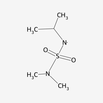 CC(C)[N]S(=O)(=O)N(C)C